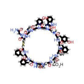 CCCC[C@@H]1NC(=O)[C@H](Cc2ccccc2)N(C)C(=O)[C@H](Cc2ccccc2)NC(=O)CSC[C@@H](C(=O)NCC(N)=O)NC(=O)[C@H](CC(C)C)NC(=O)[C@H](Cc2ccc(O)cc2)NC(=O)[C@H](Cc2c[nH]c3ccccc23)NC(O)CN(C)C(=O)[C@H](Cc2ccc(O)cc2)NC(=O)[C@H](Cc2ccccc2)N(C)C(=O)[C@H](C(C)C)NC(=O)[C@H](CC(=O)O)NC(=O)CN(C)C1=O